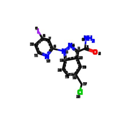 NC(=O)c1nn(-c2cc(I)ccn2)c2ccc(CCl)cc12